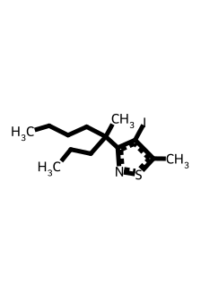 CCCCC(C)(CCC)c1nsc(C)c1I